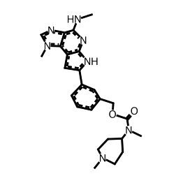 CNc1nc2[nH]c(-c3cccc(COC(=O)N(C)C4CCN(C)CC4)c3)cc2c2c1ncn2C